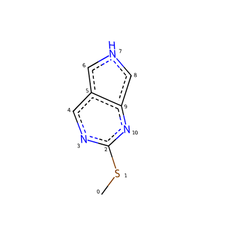 CSc1ncc2c[nH]cc2n1